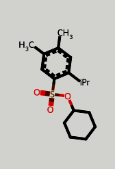 Cc1cc(C(C)C)c(S(=O)(=O)OC2CCCCC2)cc1C